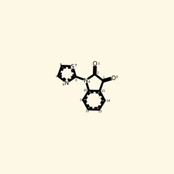 O=C1C(=O)N(c2nccs2)c2ccccc21